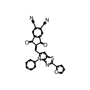 N#Cc1cc2c(cc1C#N)C(=O)C(=Cc1cc3sc(-c4ccco4)nc3n1-c1ccccc1)C2=O